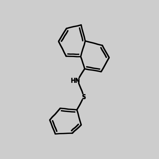 c1ccc(SNc2cccc3ccccc23)cc1